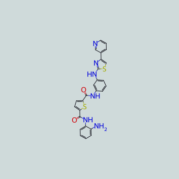 Nc1ccccc1NC(=O)c1ccc(C(=O)Nc2cccc(Nc3nc(-c4cccnc4)cs3)c2)s1